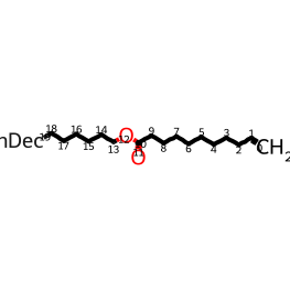 C=CCCCCCCCCC(=O)OCCCCCCCCCCCCCCCC